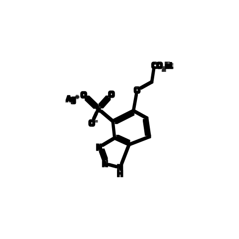 CCOC(=O)COc1ccc2[nH]nnc2c1S(=O)(=O)[O-].[Ag+]